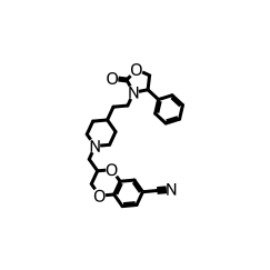 N#Cc1ccc2c(c1)OC(CN1CCC(CCN3C(=O)OCC3c3ccccc3)CC1)CO2